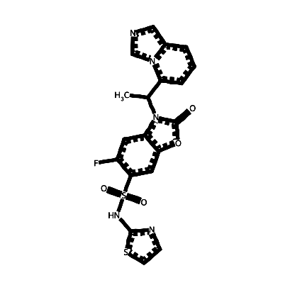 CC(c1cccc2cncn12)n1c(=O)oc2cc(S(=O)(=O)Nc3nccs3)c(F)cc21